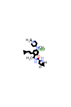 C[C@H](NC(=O)[C@@H]1C[C@H]2C[C@H]2N1)c1ccc(N(C)C2CCN(C)CC2)cc1/C=C/C1CC1.Cl.Cl